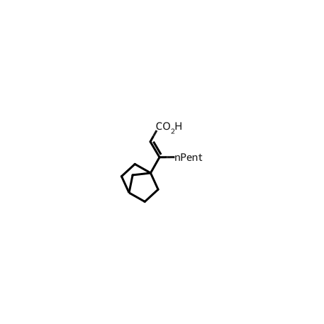 CCCCCC(=CC(=O)O)C12CCC(CC1)C2